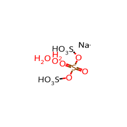 O.O.O=S(=O)(O)OS(=O)(=O)OS(=O)(=O)O.[Na]